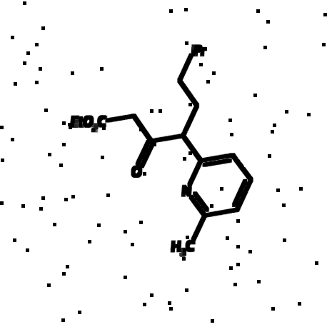 CCOC(=O)CC(=O)C(CCC(C)C)c1cccc(C)n1